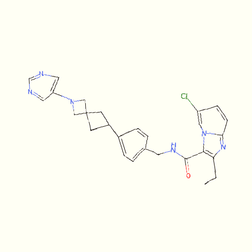 CCc1nc2ccc(Cl)cn2c1C(=O)NCc1ccc(C2CC3(C2)CN(c2cncnc2)C3)cc1